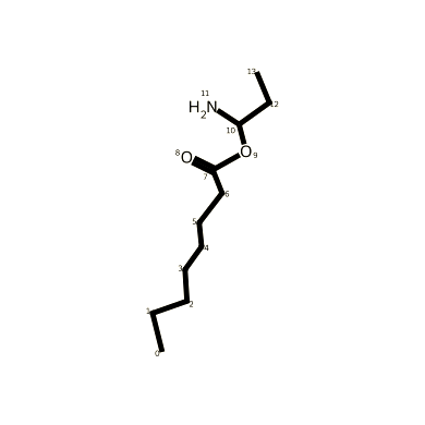 CCCCCCCC(=O)OC(N)CC